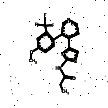 CCC(=O)Nc1ncc(-c2ccncc2-c2ccc(OC)cc2C(F)(F)F)s1